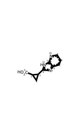 O=C(O)C1CC1c1nc2cccnc2[nH]1